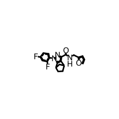 O=C(NCc1ccco1)c1nn(-c2ccc(F)cc2F)c2c1C1CCC2C1